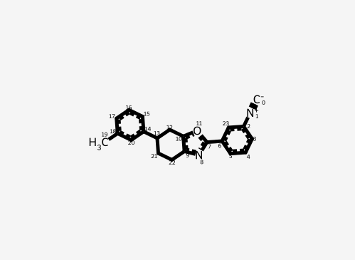 [C-]#[N+]c1cccc(-c2nc3c(o2)CC(c2cccc(C)c2)CC3)c1